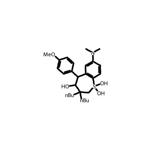 CCCCC1(CCCC)CS(O)(O)c2ccc(N(C)C)cc2C(c2ccc(OC)cc2)C1O